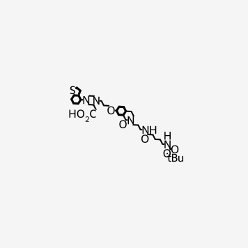 CC(C)(C)OC(=O)NCCCCC(=O)NCCCN1CCc2ccc(OCCCN3CCN(c4cccc5sccc45)CC3CC(=O)O)cc2C1=O